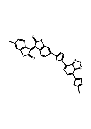 Cc1ccc2c(c1)SC(=O)/C2=C1/C(=O)Sc2cc(-c3ccc(-c4ccc(-c5ccc(C)o5)c5nsnc45)o3)ccc21